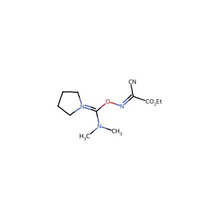 CCOC(=O)C(C#N)=NOC(N(C)C)=[N+]1CCCC1